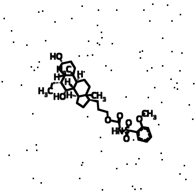 CC[C@H]1[C@@H](O)[C@@H]2[C@H](CC[C@]3(C)[C@@H](CCCOC(=O)NS(=O)(=O)c4ccccc4OC)CC[C@@H]23)[C@@]2(C)CC[C@@H](O)C[C@@H]12